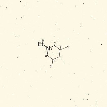 CCN1CC(C)CC(C)C1